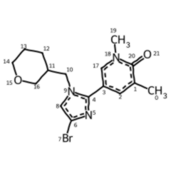 Cc1cc(-c2nc(Br)cn2CC2CCCOC2)cn(C)c1=O